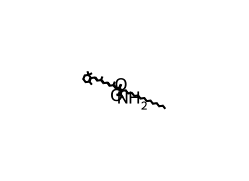 CCCCCCCCCCCCCCC(C(N)=O)C(=O)/C=C(C)/C=C/C=C(C)/C=C/C1=C(C)CCCC1(C)C